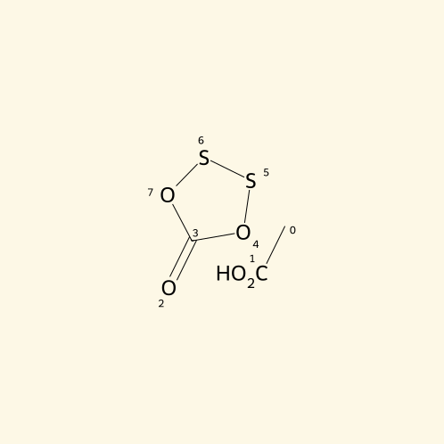 CC(=O)O.O=C1OSSO1